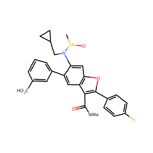 CNC(=O)c1c(-c2ccc(F)cc2)oc2cc(N(CC3CC3)[S+](C)[O-])c(-c3cccc(C(=O)O)c3)cc12